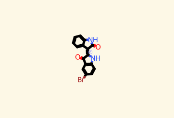 O=C1Nc2ccccc2/C1=C1/Nc2ccc(Br)cc2C1=O